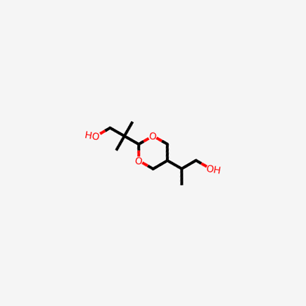 CC(CO)C1COC(C(C)(C)CO)OC1